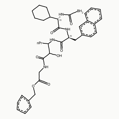 BC(=O)N[C@H](C(=O)N[C@@H](Cc1ccc2ccccc2c1)C(=O)NC(CCC)C(O)C(=O)NCC(=O)OCc1ccccc1)C1CCCCC1